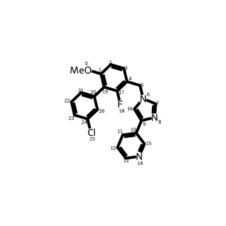 COc1ccc(Cn2cnc(-c3cccnc3)c2)c(F)c1-c1cccc(Cl)c1